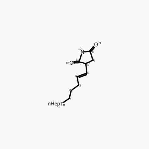 CCCCCCCCCCC=CC1CC(=O)[N]C1=O